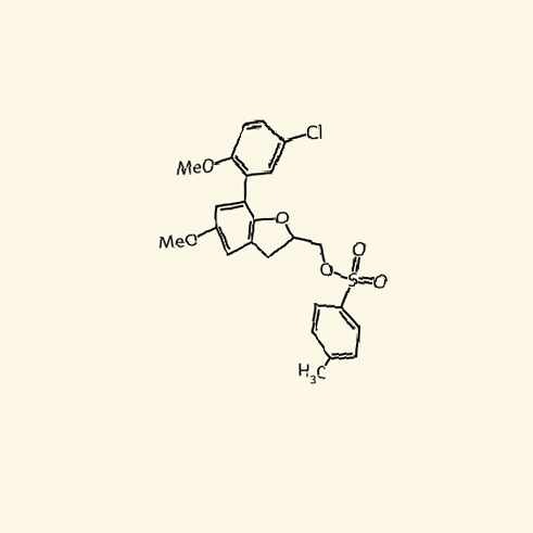 COc1cc2c(c(-c3cc(Cl)ccc3OC)c1)OC(COS(=O)(=O)c1ccc(C)cc1)C2